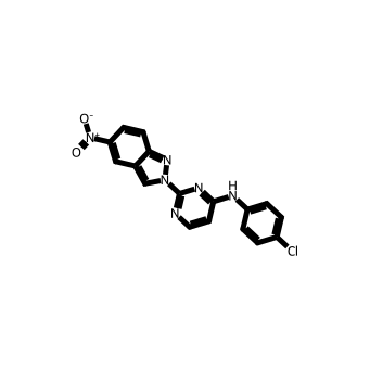 O=[N+]([O-])c1ccc2nn(-c3nccc(Nc4ccc(Cl)cc4)n3)cc2c1